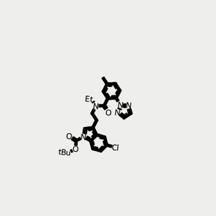 CCN(CCc1cn(C(=O)OC(C)(C)C)c2ccc(Cl)cc12)C(=O)c1cc(C)ccc1-n1nccn1